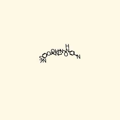 Cc1nc2cc(OC[C@@H](O)CN3CCN(CC(=O)Nc4ccc(C#N)cc4)CC3)ccc2s1